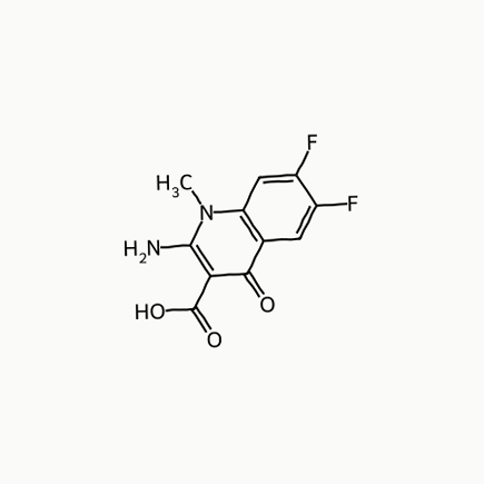 Cn1c(N)c(C(=O)O)c(=O)c2cc(F)c(F)cc21